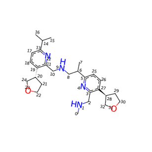 CNCc1nc(C(C)CNCc2nc(C(C)C)ccc2[C@@H]2CCOC2)ccc1[C@H]1CCOC1